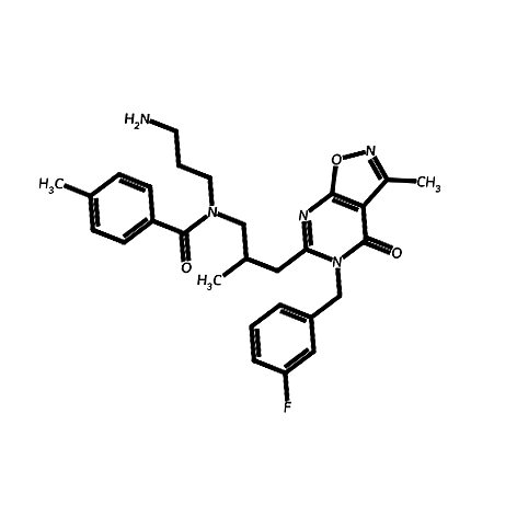 Cc1ccc(C(=O)N(CCCN)CC(C)Cc2nc3onc(C)c3c(=O)n2Cc2cccc(F)c2)cc1